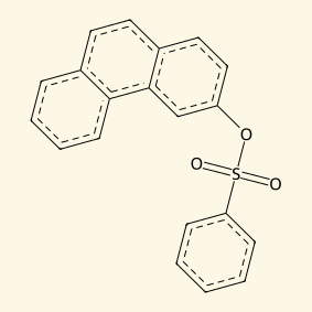 O=S(=O)(Oc1ccc2ccc3ccccc3c2c1)c1ccccc1